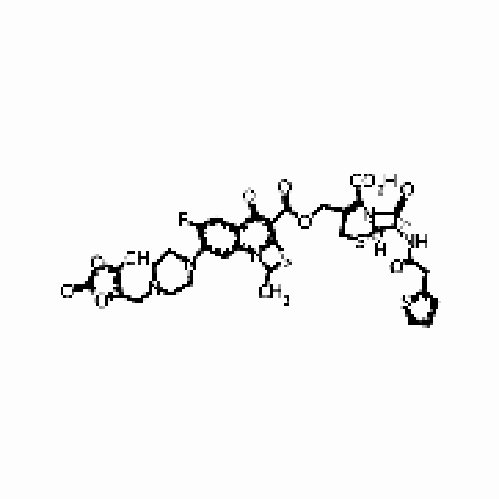 Cc1oc(=O)oc1CN1CCN(c2cc3c(cc2F)c(=O)c(C(=O)OCC2=C(C(=O)O)N4C(=O)[C@@H](NC(=O)Cc5cccs5)[C@H]4SC2)c2n3C(C)S2)CC1